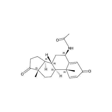 CC(=O)N[C@@H]1C[C@@H]2[C@H](CC[C@]3(C)C(=O)CC[C@@H]23)[C@@]2(C)C=CC(=O)C=C12